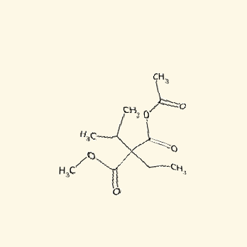 CCC(C(=O)OC)(C(=O)OC(C)=O)C(C)C